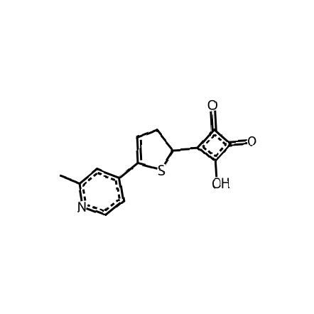 Cc1cc(C2=CCC(c3c(O)c(=O)c3=O)S2)ccn1